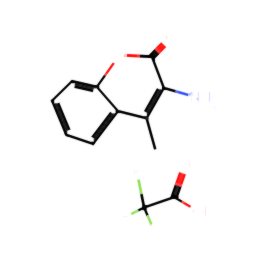 Cc1c(N)c(=O)oc2ccccc12.O=C(O)C(F)(F)F